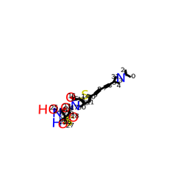 CC(C)N1CC(C#CC#Cc2cc3c(s2)C(=O)N(CCC(C)(C(=O)NO)S(C)(=O)=O)C3)C1